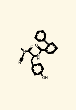 CN(C#N)C(=O)C(Cc1ccc(O)cc1)NC(=O)c1ccccc1-c1ccccc1